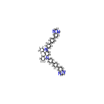 c1ccc2c(c1)c1c3c4ccccc4n(-c4ccc(-c5ccc(-c6ccc7nccnc7c6)cc5)cc4)c3ccc1n2-c1ccc(-c2ccc(-c3ccc4nccnc4c3)cc2)cc1